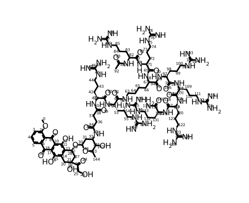 COc1cccc2c1C(=O)c1c(O)c3c(c(O)c1C2=O)C[C@](O)(C(=O)CO)C[C@@H]3OC1CC(NC(=O)CCC(=O)N[C@@H](CCCNC(=N)N)C(=O)N[C@@H](CCCNC(=N)N)C(=O)NCCCCC(NC(=O)C(CCCNC(=N)N)NC(=O)C(CCCNC(=N)N)NC(C)=O)C(=O)N[C@@H](CCCNC(=N)N)C(=O)N[C@@H](CCCNC(=N)N)C(=O)N[C@@H](CCCNC(=N)N)C(=O)N[C@@H](CCCNC(=N)N)C(N)=O)C(O)C(C)O1